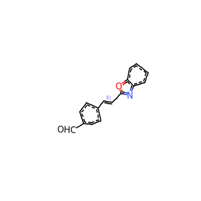 O=Cc1ccc(/C=C/c2nc3ccccc3o2)cc1